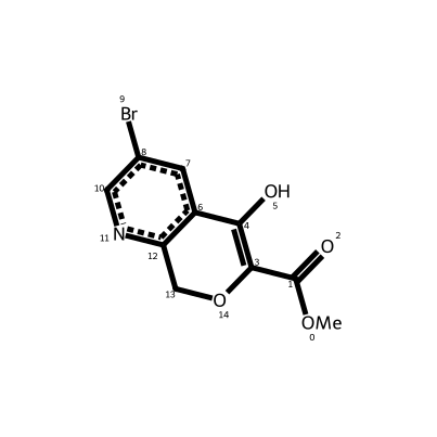 COC(=O)C1=C(O)c2cc(Br)cnc2CO1